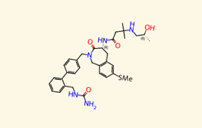 CSc1ccc2c(c1)C[C@@H](NC(=O)CC(C)(C)NC[C@@H](C)O)C(=O)N(Cc1ccc(-c3ccccc3CNC(N)=O)cc1)C2